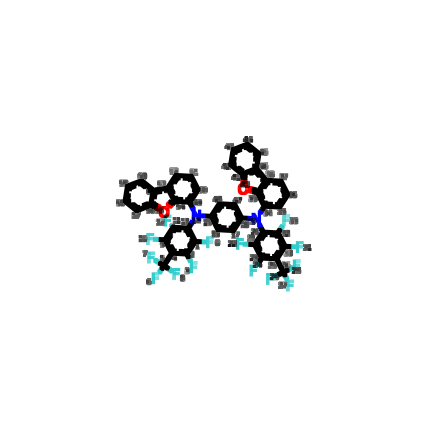 Fc1c(F)c(C(F)(F)F)c(F)c(F)c1N(c1ccc(N(c2c(F)c(F)c(C(F)(F)F)c(F)c2F)c2cccc3c2oc2ccccc23)cc1)c1cccc2c1oc1ccccc12